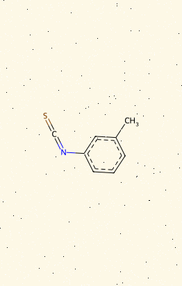 Cc1cccc(N=C=S)c1